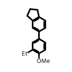 CCc1cc(-c2ccc3c(c2)CCC3)ccc1OC